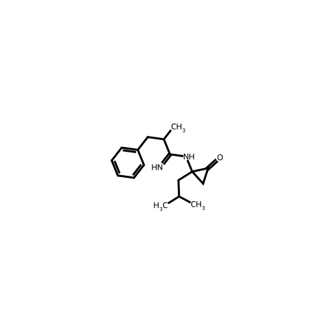 CC(C)CC1(NC(=N)C(C)Cc2ccccc2)CC1=O